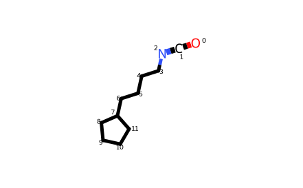 O=C=NCCCCC1CCCC1